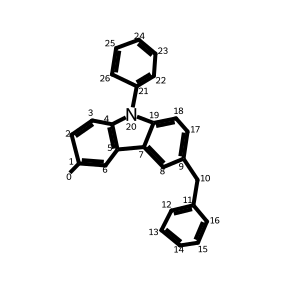 Cc1ccc2c(c1)c1cc(Cc3ccccc3)ccc1n2-c1ccccc1